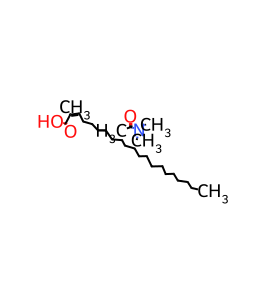 CC(=O)N(C)C.CCCCCCCCCCCCCCCCCCC=C(C)C(=O)O